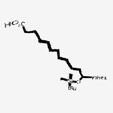 CCCCCCC(CCCCCCCCCCC(=O)O)O[Si](C)(C)C(C)(C)C